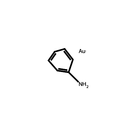 Nc1ccccc1.[Au]